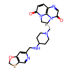 O=c1ccc2ncc(=O)n3c2n1C[C@H]3CN1CCC(NCc2cc3c(cn2)SCO3)CC1